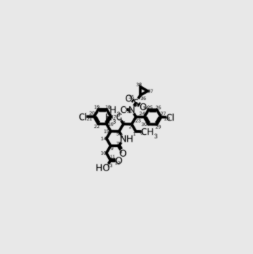 CCC(C(C)C1NC(=O)C(CC(=O)O)CC1c1cccc(Cl)c1)C(c1ccc(Cl)cc1)N(C)S(=O)(=O)C1CC1